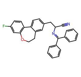 N#CC(Cc1ccc2c(c1)CCOc1cc(F)ccc1-2)N=C(c1ccccc1)c1ccccc1